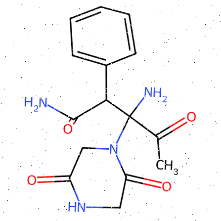 CC(=O)C(N)(C(C(N)=O)c1ccccc1)N1CC(=O)NCC1=O